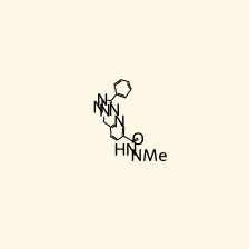 CNNC(=O)c1ccc(Cn2nnc(-c3ccccc3)n2)nc1